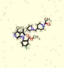 COC(=O)c1cc(F)ccc1-n1cc(C[C@@H]2CCN(CC3CCN(C(C)=O)CC3)C2)c2c(C)cncc21